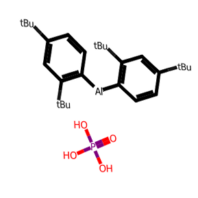 CC(C)(C)c1cc[c]([Al][c]2ccc(C(C)(C)C)cc2C(C)(C)C)c(C(C)(C)C)c1.O=P(O)(O)O